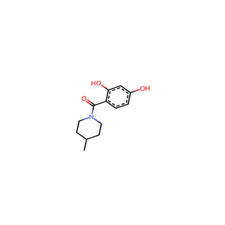 CC1CCN(C(=O)c2ccc(O)cc2O)CC1